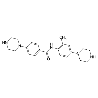 Cc1cc(N2CCNCC2)ccc1NC(=O)c1ccc(N2CCNCC2)cc1